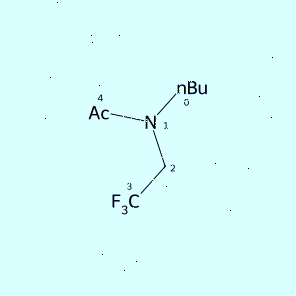 CCCCN(CC(F)(F)F)C(C)=O